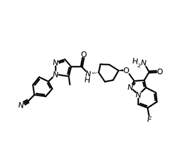 Cc1c(C(=O)N[C@H]2CC[C@H](Oc3nn4cc(F)ccc4c3C(N)=O)CC2)cnn1-c1ccc(C#N)cc1